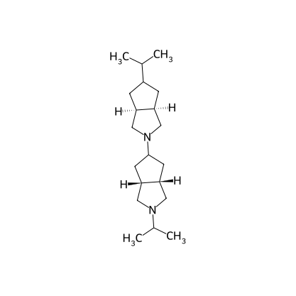 CC(C)C1C[C@@H]2CN(C3C[C@@H]4CN(C(C)C)C[C@@H]4C3)C[C@@H]2C1